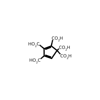 O=C(O)C1=CC(C(=O)O)(C(=O)O)C(C(=O)O)=C1C(=O)O